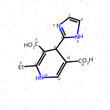 CCC1=C(C(=O)O)C(c2ncc[nH]2)C(C(=O)O)=CN1